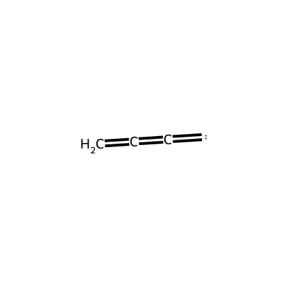 [C]=C=C=C